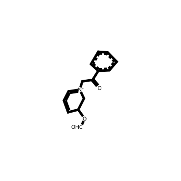 O=COC1C=C=C=[N+](CC(=O)c2ccccc2)C1